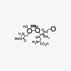 COC(=O)C(N)Cc1cc(O)c(OC)c(-c2cc(C(C(=O)C[C@H](N)C(=O)O)N(C)C(=O)OCc3ccccc3)ccc2O)c1